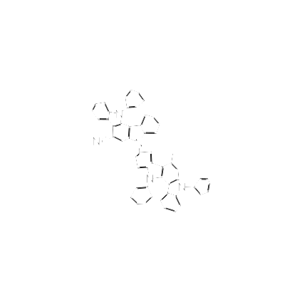 Cc1cc2c(c3ccccc3n2-c2ccccc2)c2c1c1cc(-n3c4ccccc4c4c3cc(C#N)c3c5ccccc5n(-c5ccccc5)c34)ccc1n2-c1ccccc1